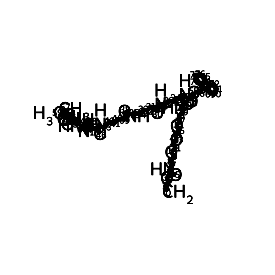 C=CCOC(=O)NCCCOCCOCCOCCCNC(=O)C(CCCCNC(=O)CCCCCNC(=O)CCCCCNC(=O)c1ccc(NNC(=O)OC(C)(C)C)nc1)NC(=O)OCC1c2ccccc2-c2ccccc21